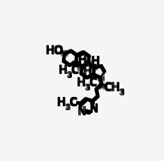 Cc1cc(CC[C@@H](C)[C@H]2CC[C@H]3[C@@H]4CC=C5C[C@@H](O)CC[C@]5(C)[C@H]4CC[C@]23C)ncn1